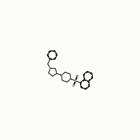 O=S(=O)(c1cccc2ccccc12)N1CCN(C2[CH]CN(Cc3ccccc3)C2)CC1